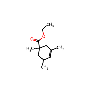 CCOC(=O)C1(C)CC(C)=CC(C)C1